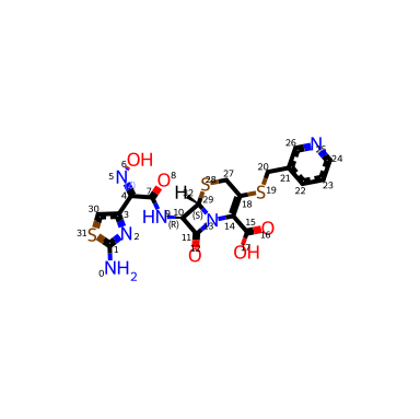 Nc1nc(/C(=N/O)C(=O)N[C@@H]2C(=O)N3C(C(=O)O)=C(SCc4cccnc4)CS[C@@H]23)cs1